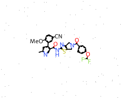 COc1ccc(C#N)cc1-c1cc(C)ncc1C(=O)Nc1nc2c(s1)CN(C(=O)c1ccc(OC(F)F)cc1)C2